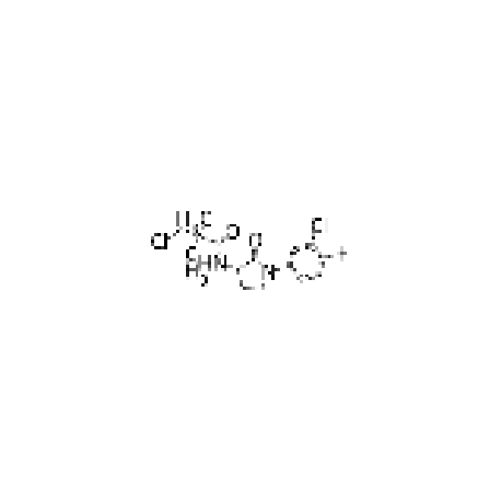 CC(C)(CCl)C(=O)NC1CCN(c2ccc(F)c(Cl)c2)C1=O